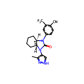 Cc1n[nH]cc1N1C(=O)N(c2ccc(C#N)c(C(F)(F)F)c2)[C@@H]2CCCC[C@H]21